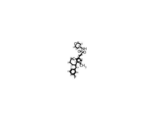 Cn1nc(C=CS(=O)(=O)NN2CCOCC2)c2c1C(Cc1cccc(F)c1)CCCC2